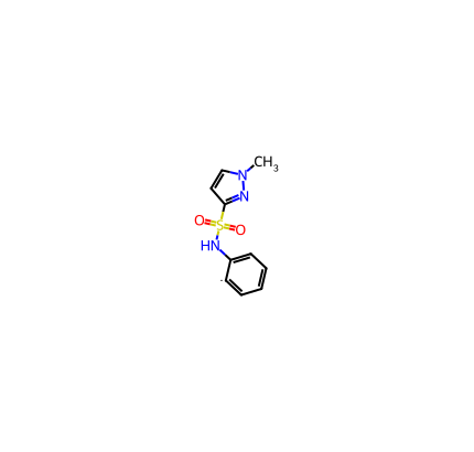 Cn1ccc(S(=O)(=O)Nc2[c]cccc2)n1